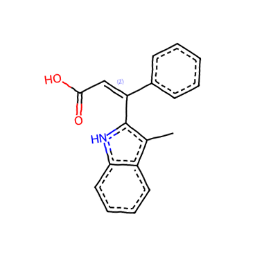 Cc1c(/C(=C\C(=O)O)c2ccccc2)[nH]c2ccccc12